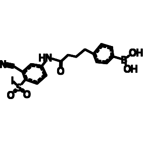 N#Cc1cc(NC(=O)CCCc2ccc(B(O)O)cc2)ccc1S(=O)(=O)I